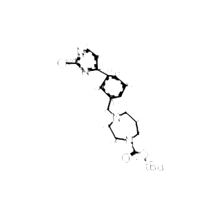 CC(C)(C)OC(=O)N1CCCN(Cc2cccc(-c3ccnc(Cl)n3)c2)CC1